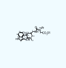 CCCN(CC(=O)OCC)C(=O)NCC1C[C@@H]2c3cccc4[nH]cc(c34)C[C@H]2N(C)C1